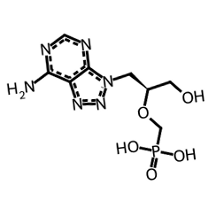 Nc1ncnc2c1nnn2C[C@@H](CO)OCP(=O)(O)O